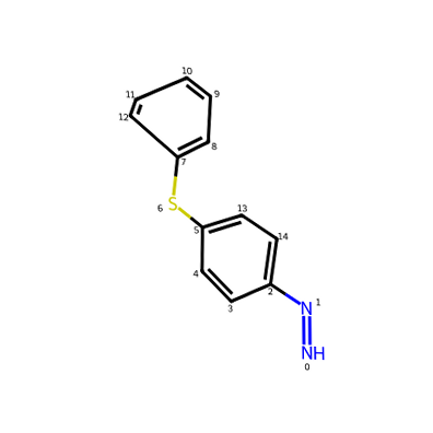 N=Nc1ccc(Sc2ccccc2)cc1